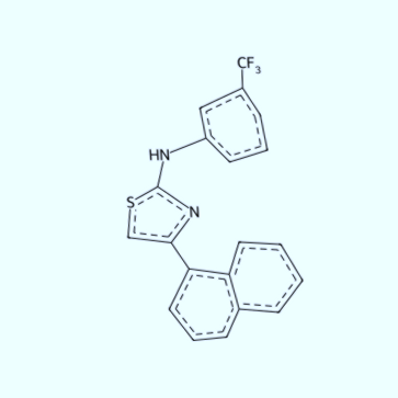 FC(F)(F)c1cccc(Nc2nc(-c3cccc4ccccc34)cs2)c1